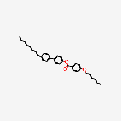 CCCCCCCCc1ccc(-c2ccc(OC(=O)c3ccc(OCCCCCC)cc3)cc2)cc1